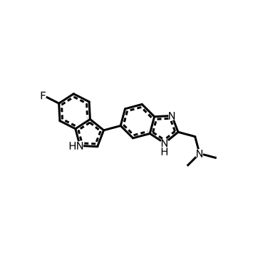 CN(C)Cc1nc2ccc(-c3c[nH]c4cc(F)ccc34)cc2[nH]1